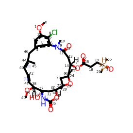 COc1cc2cc(c1Cl)N(C)C(=O)C[C@H](OC(=O)CC[SH](C)(C)=O)[C@@]1(C)CC(C)(O1)[C@@H]1C[C@@](O)(NC(=O)O1)[C@H](OC)/C=C/C=C(\C)C2